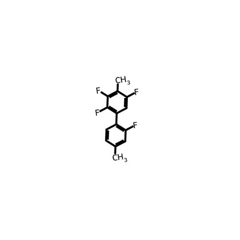 Cc1ccc(-c2cc(F)c(C)c(F)c2F)c(F)c1